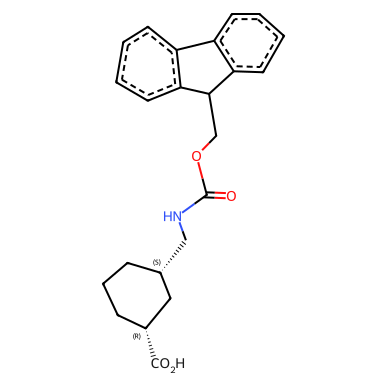 O=C(NC[C@H]1CCC[C@@H](C(=O)O)C1)OCC1c2ccccc2-c2ccccc21